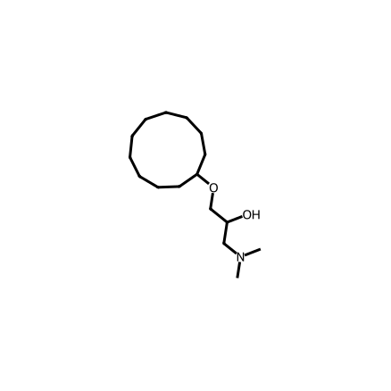 CN(C)CC(O)COC1CCCCCCCCCC1